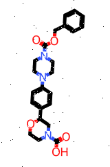 O=C(O)N1CCOC(c2ccc(N3CCN(C(=O)OCc4ccccc4)CC3)cc2)C1